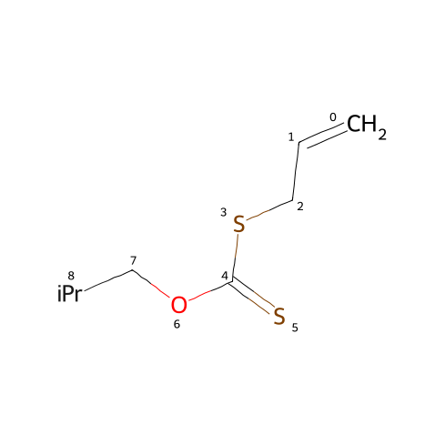 C=CCSC(=S)OCC(C)C